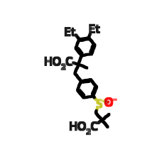 CCc1ccc(C(C)(Cc2ccc([S+]([O-])CC(C)(C)C(=O)O)cc2)C(=O)O)cc1CC